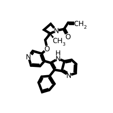 C=CC(=O)N1CC[C@@]1(C)COc1cnccc1-c1[nH]c2cccnc2c1-c1ccccc1